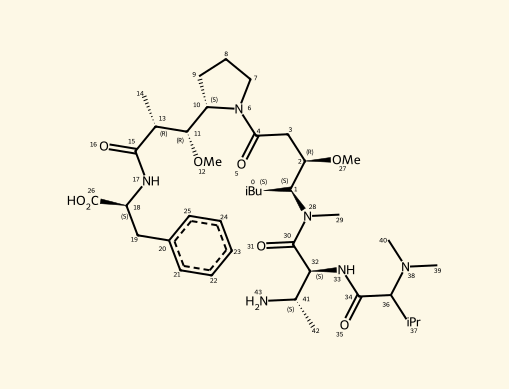 CC[C@H](C)[C@@H]([C@@H](CC(=O)N1CCC[C@H]1[C@H](OC)[C@@H](C)C(=O)N[C@@H](Cc1ccccc1)C(=O)O)OC)N(C)C(=O)[C@@H](NC(=O)C(C(C)C)N(C)C)[C@H](C)N